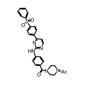 CC(=O)N1CCN(C(=O)c2ccc(Nc3nccc(-c4ccc(S(=O)(=O)c5ccccc5)cc4)n3)cc2)CC1